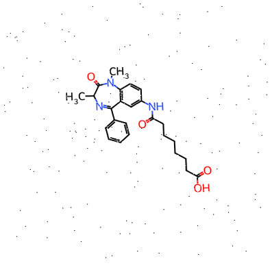 CC1N=C(c2ccccc2)c2cc(NC(=O)CCCCCCC(=O)O)ccc2N(C)C1=O